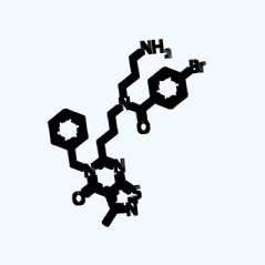 Cc1nsc2nc(CCCN(CCCN)C(=O)c3ccc(Br)cc3)n(Cc3ccccc3)c(=O)c12